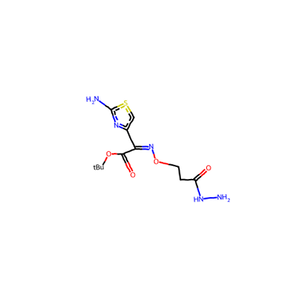 CC(C)(C)OC(=O)C(=NOCCC(=O)NN)c1csc(N)n1